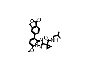 COc1ccc(-c2ccc3c(c2)COC3=O)c2nc(C3(C(=O)NCC(C)C)CC3)nn12